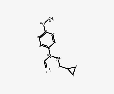 C=C[C@H](NCC1CC1)c1ccc(OC)cc1